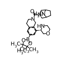 CN1C2CCC1CN(C(=O)N1CCc3cc(B4OC(C)(C)C(C)(C)O4)cc([C@@H]4COCCN4)c3C1)C2